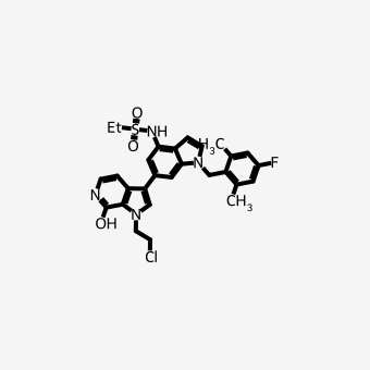 CCS(=O)(=O)Nc1cc(-c2cn(CCCl)c3c(O)nccc23)cc2c1ccn2Cc1c(C)cc(F)cc1C